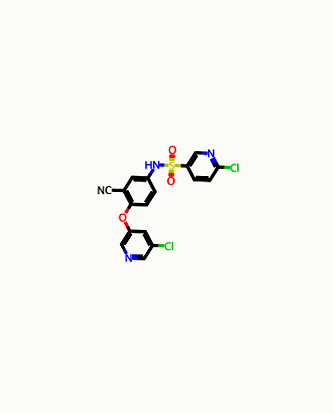 N#Cc1cc(NS(=O)(=O)c2ccc(Cl)nc2)ccc1Oc1cncc(Cl)c1